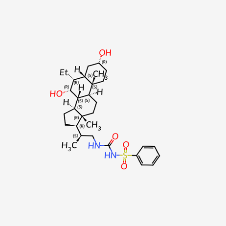 CC[C@H]1[C@@H](O)[C@@H]2[C@H](CC[C@]3(C)[C@@H]([C@H](C)CNC(=O)NS(=O)(=O)c4ccccc4)CC[C@@H]23)[C@@]2(C)CC[C@@H](O)C[C@@H]12